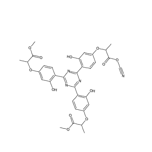 COC(=O)C(C)Oc1ccc(-c2nc(-c3ccc(OC(C)C(=O)OC)cc3O)nc(-c3ccc(OC(C)C(=O)OC#N)cc3O)n2)c(O)c1